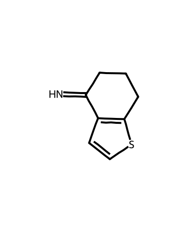 N=C1CCCc2sccc21